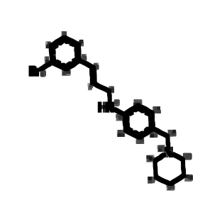 Brc1cccc(C=CCNc2ccc(CN3CCCCC3)cc2)c1